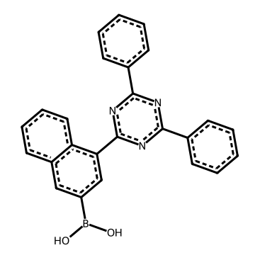 OB(O)c1cc(-c2nc(-c3ccccc3)nc(-c3ccccc3)n2)c2ccccc2c1